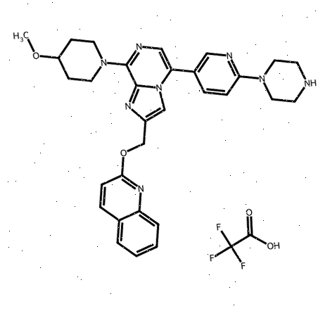 COC1CCN(c2ncc(-c3ccc(N4CCNCC4)nc3)n3cc(COc4ccc5ccccc5n4)nc23)CC1.O=C(O)C(F)(F)F